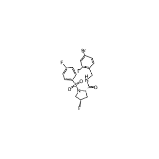 O=C(NCc1ccc(Br)cc1F)[C@@H]1C[C@@H](F)CN1S(=O)(=O)c1ccc(F)cc1